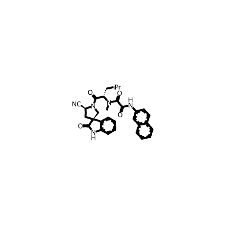 CC(C)C[C@@H](C(=O)N1C[C@]2(C[C@H]1C#N)C(=O)Nc1ccccc12)N(C)C(=O)C(=O)Nc1ccc2ccccc2c1